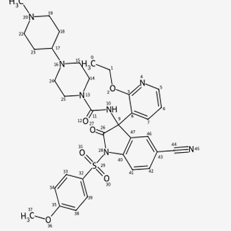 CCOc1ncccc1C1(NC(=O)N2CCN(C3CCN(C)CC3)CC2)C(=O)N(S(=O)(=O)c2ccc(OC)cc2)c2ccc(C#N)cc21